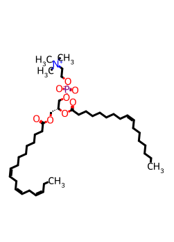 CC/C=C\C/C=C\C/C=C\CCCCCCCC(=O)OC[C@H](COP(=O)([O-])OCC[N+](C)(C)C)OC(=O)CCCCCCC/C=C\CCCCCCC